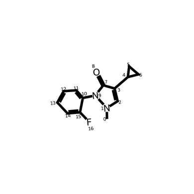 Cn1cc(C2CC2)c(=O)n1-c1ccccc1F